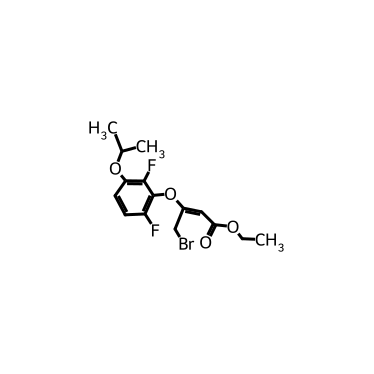 CCOC(=O)/C=C(\CBr)Oc1c(F)ccc(OC(C)C)c1F